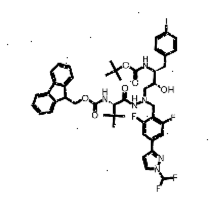 CC(C)(C)OC(=O)N[C@@H](Cc1ccc(I)cc1)[C@@H](O)CN(Cc1c(F)cc(-c2ccn(C(F)F)n2)cc1F)NC(=O)[C@@H](NC(=O)OCC1c2ccccc2-c2ccccc21)C(C)(C)C